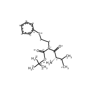 CC(C)[C@H](N)C(=O)N(CCSc1ccccc1)C(=O)OC(C)(C)C